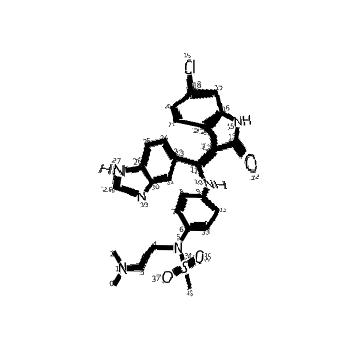 CN(C)CCN(c1ccc(N/C(=C2\C(=O)Nc3cc(Cl)ccc32)c2ccc3[nH]cnc3c2)cc1)S(C)(=O)=O